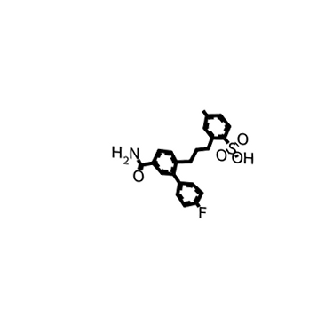 Cc1ccc(S(=O)(=O)O)c(CCCc2ccc(C(N)=O)cc2-c2ccc(F)cc2)c1